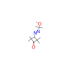 COC(C)(C)N=NC1C(C)(C)C(=O)C1(C)C